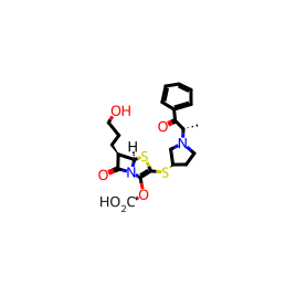 C[C@@H](C(=O)c1ccccc1)N1CC[C@H](SC2=C(OC(=O)O)N3C(=O)[C@@H](CCCO)[C@H]3S2)C1